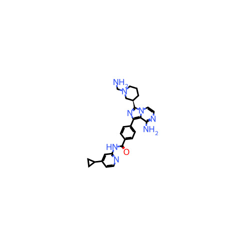 NCN1CCC[C@@H](c2nc(-c3ccc(C(=O)Nc4cc(C5CC5)ccn4)cc3)c3c(N)nccn23)C1